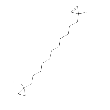 CCOC(=O)C1(CCCCCCCCCCCC2(C(C)=O)C=C2)CC1